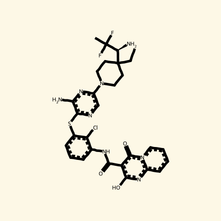 CCC1([C@H](N)C(C)(F)F)CCN(c2cnc(Sc3cccc(NC(=O)c4c(O)nc5ccccn5c4=O)c3Cl)c(N)n2)CC1